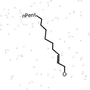 CCCCCCCCCCCC=CC[O]